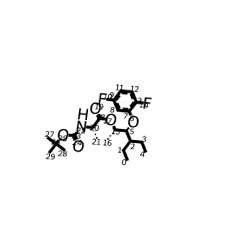 CCC(CC)[C@H](Oc1cc(F)ccc1F)[C@H](C)OC(=O)[C@H](C)NC(=O)OC(C)(C)C